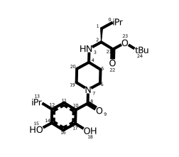 CC(C)C[C@H](NC1CCN(C(=O)c2cc(C(C)C)c(O)cc2O)CC1)C(=O)OC(C)(C)C